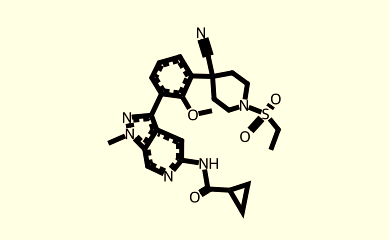 CCS(=O)(=O)N1CCC(C#N)(c2cccc(-c3nn(C)c4cnc(NC(=O)C5CC5)cc34)c2OC)CC1